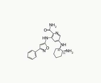 NC(=O)c1ncc(N[C@@H]2CCCC[C@@H]2N)cc1Nc1cc(-c2ccccc2)no1